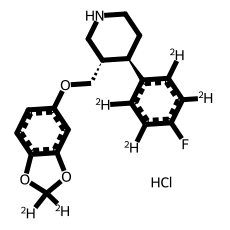 Cl.[2H]c1c([2H])c([C@@H]2CCNC[C@H]2COc2ccc3c(c2)OC([2H])([2H])O3)c([2H])c([2H])c1F